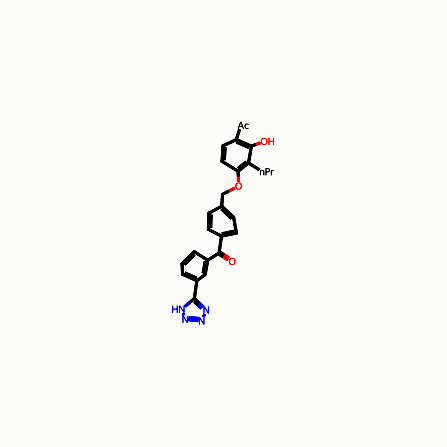 CCCc1c(OCc2ccc(C(=O)c3cccc(-c4nnn[nH]4)c3)cc2)ccc(C(C)=O)c1O